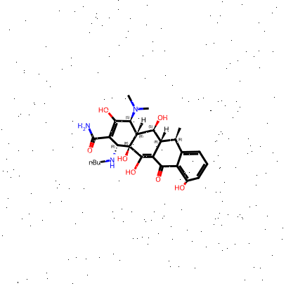 CCCCN[C@@H]1C(C(N)=O)=C(O)[C@@H](N(C)C)[C@@H]2[C@@H](O)[C@H]3C(=C(O)[C@@]21O)C(=O)c1c(O)cccc1[C@@H]3C